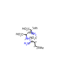 CCCC[C@H](N)C(=O)O.CCC[C@H](N)C(=O)O.CSCC[C@H](N)C(=O)O